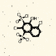 O=S(=O)(Cl)c1c(Cl)c(S(=O)(=O)Cl)c2cccc(Cl)c2c1O